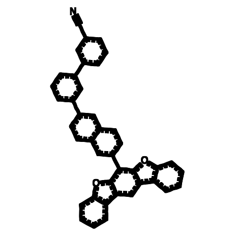 N#Cc1cccc(-c2cccc(-c3ccc4cc(-c5c6oc7ccccc7c6cc6c5oc5ccccc56)ccc4c3)c2)c1